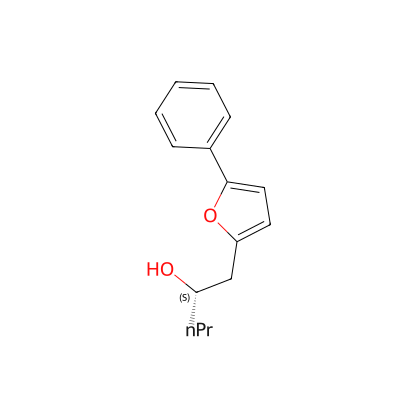 CCC[C@H](O)Cc1ccc(-c2ccccc2)o1